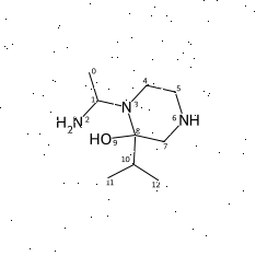 CC(N)N1CCNCC1(O)C(C)C